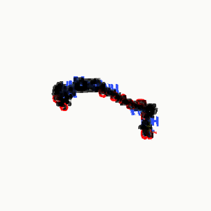 CC(=O)c1c(C)c2cnc(Nc3ccc(N4CCN(CC(=O)NCCOCCOCCOCCC(=O)Nc5ccccc5C(=O)Nc5nc(C)c([N+](=O)[O-])s5)CC4)cn3)nc2n(C2CCCC2)c1=O